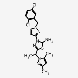 Cc1cc(C)n(C(C)C2=NN(c3ccn(Cc4cc(Cl)ccc4Cl)n3)C(N)S2)n1